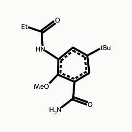 CCC(=O)Nc1cc(C(C)(C)C)cc(C(N)=O)c1OC